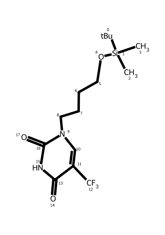 CC(C)(C)[Si](C)(C)OCCCCn1cc(C(F)(F)F)c(=O)[nH]c1=O